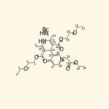 Br.CCOCCOC(=O)C1=C(C)NC(C)=C(C(=O)OCCOCC)C1c1ccc[n+](CC(=O)OCC)c1.[Br-]